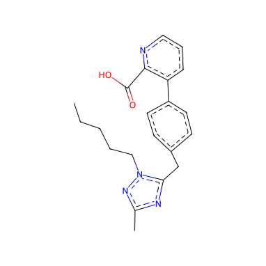 CCCCCn1nc(C)nc1Cc1ccc(-c2cccnc2C(=O)O)cc1